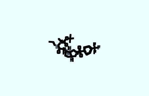 CCC[C@@H](C(=O)N[C@@H]1CC[C@@H]2CN(S(=O)(=O)c3ccc(C(F)(F)F)cc3)C[C@@H]21)N(C)C(=O)OC(C)(C)C